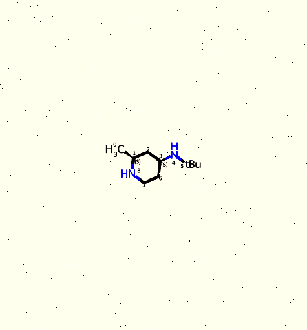 C[C@H]1C[C@@H](NC(C)(C)C)CCN1